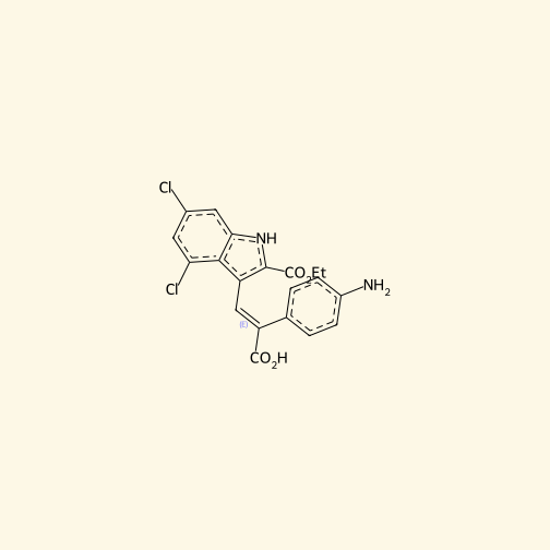 CCOC(=O)c1[nH]c2cc(Cl)cc(Cl)c2c1/C=C(/C(=O)O)c1ccc(N)cc1